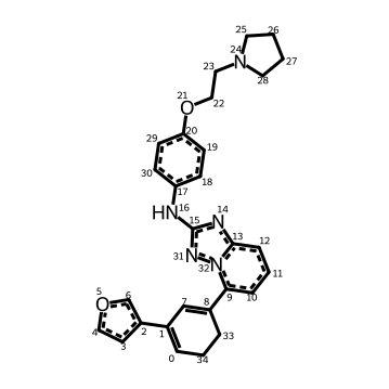 C1=C(c2ccoc2)C=C(c2cccc3nc(Nc4ccc(OCCN5CCCC5)cc4)nn23)CC1